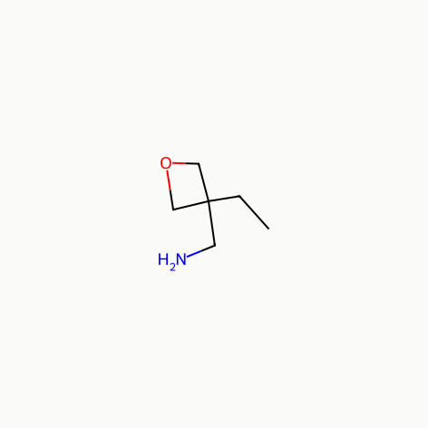 CCC1(CN)COC1